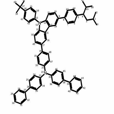 CC(C)CC(c1ccc(-c2ccc3c(c2)c2cc(-c4ccc(N(c5ccc(-c6ccccc6)cc5)c5ccc(-c6ccccc6)cc5)cc4)ccc2n3-c2ccc(C(C)(C)C)cc2)cc1)C(C)C